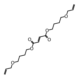 C=CCOCCCCOC(=O)C=CC(=O)OCCCCOCC=C